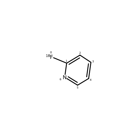 [18F]c1ccccn1